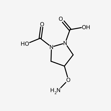 NOC1CN(C(=O)O)N(C(=O)O)C1